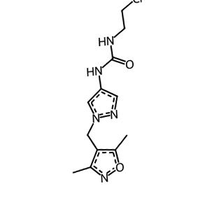 Cc1noc(C)c1Cn1cc(NC(=O)NCCCl)cn1